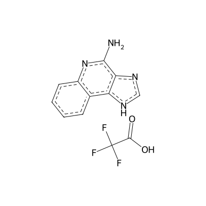 Nc1nc2ccccc2c2[nH]cnc12.O=C(O)C(F)(F)F